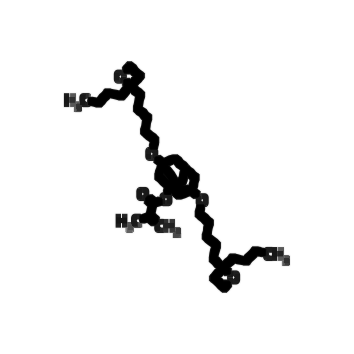 C=C(C)C(=O)OC12CC3CC(OCCCCCC4(CCCC)CCO4)(CC(OCCCCCC4(CCCC)CCO4)(C3)C1)C2